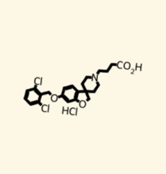 Cl.O=C(O)CCCN1CCC2(CC1)COc1cc(OCc3c(Cl)cccc3Cl)ccc12